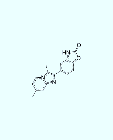 Cc1ccn2c(C)c(-c3ccc4oc(=O)[nH]c4c3)nc2c1